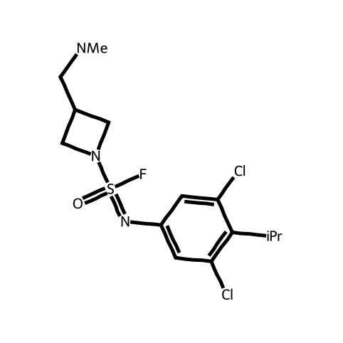 CNCC1CN(S(=O)(F)=Nc2cc(Cl)c(C(C)C)c(Cl)c2)C1